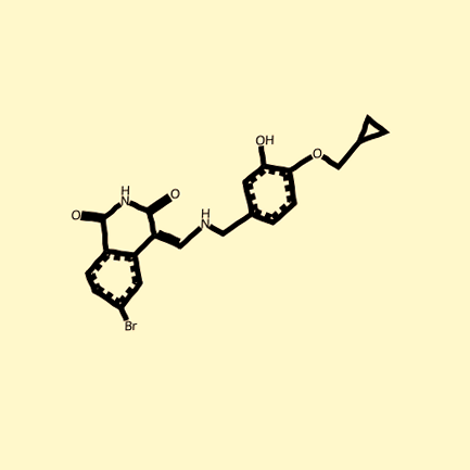 O=C1NC(=O)c2ccc(Br)cc2C1=CNCc1ccc(OCC2CC2)c(O)c1